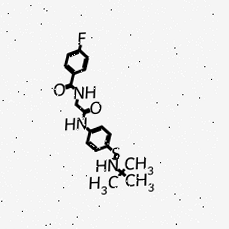 CC(C)(C)NSc1ccc(NC(=O)CNC(=O)c2ccc(F)cc2)cc1